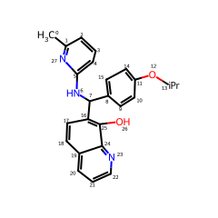 Cc1cccc(NC(c2ccc(OC(C)C)cc2)c2ccc3cccnc3c2O)n1